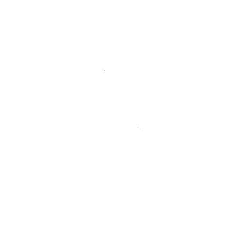 CCCc1c[nH]c2ccc(C#N)cc12